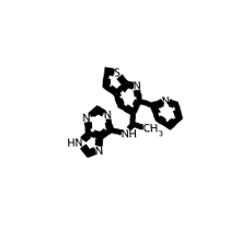 CC(Nc1ncnc2[nH]cnc12)c1cc2ccsc2nc1-c1ccccn1